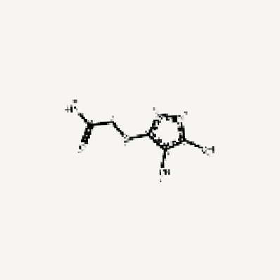 N#Cc1c(O)nsc1SCC([NH])=O